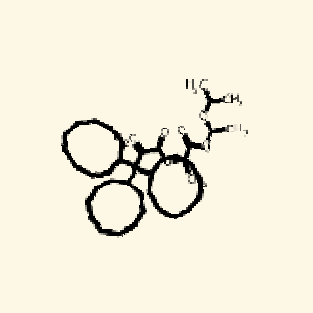 C=C(OC(=O)C(=C)C(C1CCCCCCCCC1)(C1CCCCCCCCC1)C1CCCCCCCCC1)C(=O)OC(C)OC(C)C